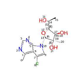 Cc1ncnc2c1c(F)cn2[C@@H]1O[C@H]([C@H](C)O)[C@@H](O)[C@@]1(C)O